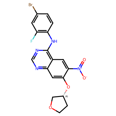 O=[N+]([O-])c1cc2c(Nc3ccc(Br)cc3F)ncnc2cc1O[C@@H]1CCOC1